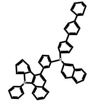 c1ccc(-c2ccc(-c3ccc(N(c4cccc(-c5cc6ccccc6c6c5c5ccccc5n6-c5ccccc5)c4)c4ccc5ccccc5c4)cc3)cc2)cc1